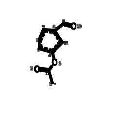 [CH2]C(=O)Oc1cccc(C=O)c1